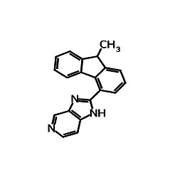 CC1c2ccccc2-c2c(-c3nc4cnccc4[nH]3)cccc21